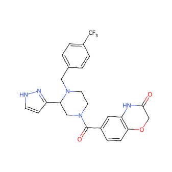 O=C1COc2ccc(C(=O)N3CCN(Cc4ccc(C(F)(F)F)cc4)C(c4cc[nH]n4)C3)cc2N1